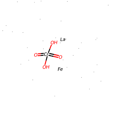 [Fe].[La].[O]=[Cr](=[O])([OH])[OH]